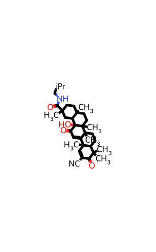 CC(C)CNC(=O)C1(C)CCC2(C)CCC3(C)C4(C)CCC5C(C)(C)C(=O)C(C#N)=CC5(C)C4=CC(=O)C3(O)C2C1